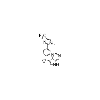 Cn1cc(C(F)(F)F)nc1-c1ccc(C2(c3c[nH]c4cncnc34)CC2)cc1